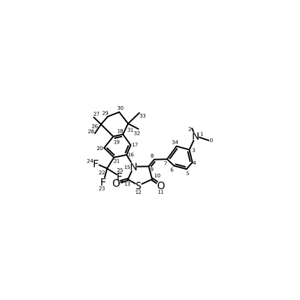 CN(C)c1cccc(C=C2C(=O)SC(=O)N2c2cc3c(cc2C(F)(F)F)C(C)(C)CCC3(C)C)c1